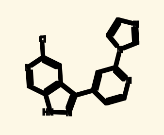 Clc1cc2c(-c3ccnc(-n4ccnc4)c3)n[nH]c2cn1